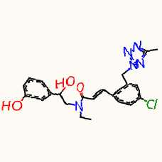 CCN(CC(O)c1cccc(O)c1)C(=O)C=Cc1ccc(Cl)cc1Cn1nnc(C)n1